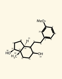 COc1cccc(CCC2C(O)CC[C@]3(C)[C@@H](O)CC[C@@H]23)c1